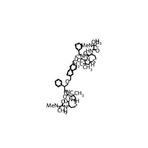 CN[C@@H](C)C(=O)N[C@H]1CCS[C@H]2CC(C)(C)[C@@H](C(=O)/N=C/C(COCc3ccc4cc(COC[C@@H](NC(=O)[C@H]5N6C(=O)[C@@H](NC(=O)C(C)(O)NC)CCS[C@H]6CC5(C)C)c5ccccc5)ccc4c3)c3ccccc3)N2C1=O